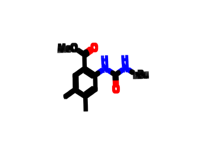 CCCCNC(=O)Nc1cc(C)c(C)cc1C(=O)OC